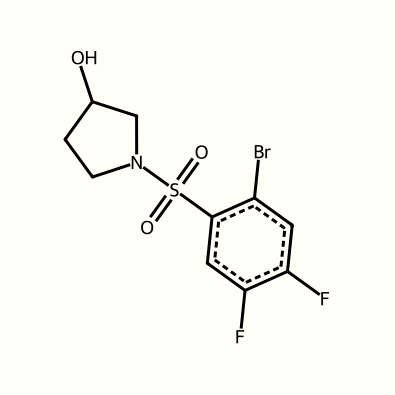 O=S(=O)(c1cc(F)c(F)cc1Br)N1CCC(O)C1